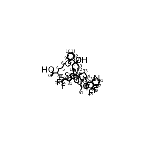 C=C(O)CCCCOc1ccccc1C1(O)CCN(C(=O)[C@]2(Oc3csc(C(F)(F)F)c3)CCCN(C(=O)c3cnccc3C(F)(F)F)[C@@H]2CCC)CC1